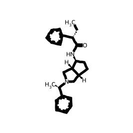 CC[C@H](C(=O)N[C@H]1CC[C@@H]2CN([C@@H](C)c3ccccc3)C[C@@H]21)c1ccccc1